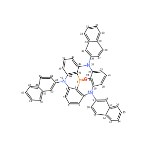 O=P12c3c4cccc3N(c3ccc5ccccc5c3)c3cccc(c31)N(c1ccc3ccccc3c1)c1cccc(c12)N4c1ccc2ccccc2c1